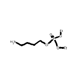 CCOP(=O)(OCC)OCCCCN